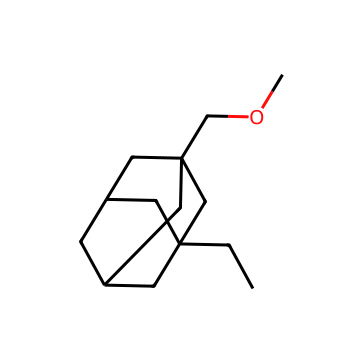 CCC12CC3CC(C1)CC(COC)(C3)C2